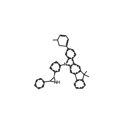 CC1C=CC=C(c2ccc3c4cc5c(cc4n(-c4cccc([C@H]6NC6c6ccccc6)c4)c3c2)-c2ccccc2C5(C)C)C1